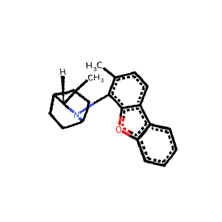 Cc1ccc2c(oc3ccccc32)c1N1C2CCC(CC2)[C@@H]1C